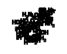 CC(C)C[C@H](NC(=O)[C@@H]1CCCN1C(=O)[C@@H](N)CC(C)C)C(=O)N[C@@H](CC(=O)O)C(=O)N[C@@H](CCCCN)C(=O)N[C@@H](CC(=O)O)C(=O)N[C@@H](Cc1ccc(O)cc1)C(=O)N[C@@H](Cc1ccc(O)cc1)C(=O)N[C@H](C(=O)N[C@H](C(=O)N[C@@H](CCCNC(=N)N)C(=O)O)C(C)C)C(C)C